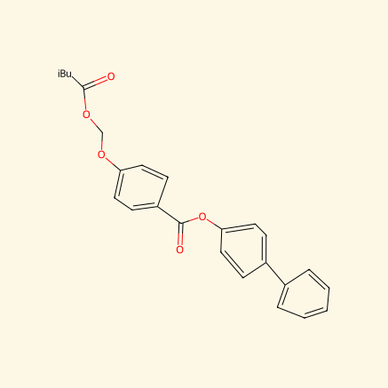 CCC(C)C(=O)OCOc1ccc(C(=O)Oc2ccc(-c3ccccc3)cc2)cc1